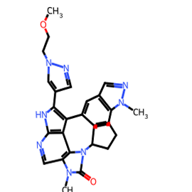 COCCn1cc(-c2[nH]c3ncc4c(c3c2-c2ccc3c(cnn3C)c2)n(C2CCCC2)c(=O)n4C)cn1